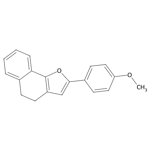 COc1ccc(-c2cc3c(o2)-c2ccccc2CC3)cc1